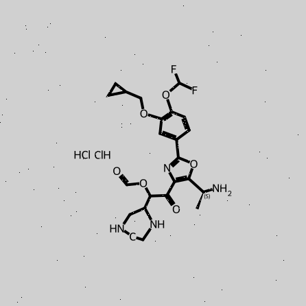 C[C@H](N)c1oc(-c2ccc(OC(F)F)c(OCC3CC3)c2)nc1C(=O)C(OC=O)C1CNCCN1.Cl.Cl